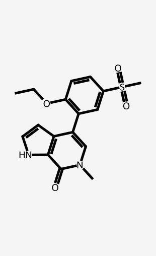 CCOc1ccc(S(C)(=O)=O)cc1-c1cn(C)c(=O)c2[nH]ccc12